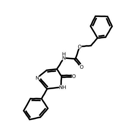 O=C(Nc1cnc(-c2ccccc2)[nH]c1=O)OCc1ccccc1